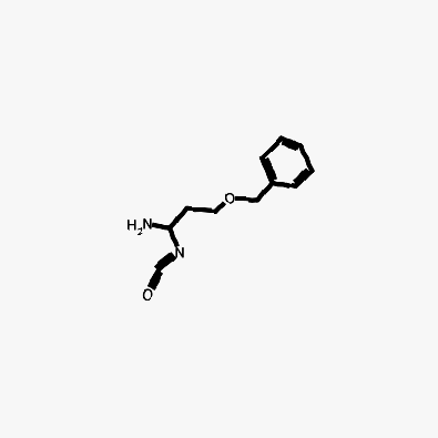 NC(CCOCc1ccccc1)N=C=O